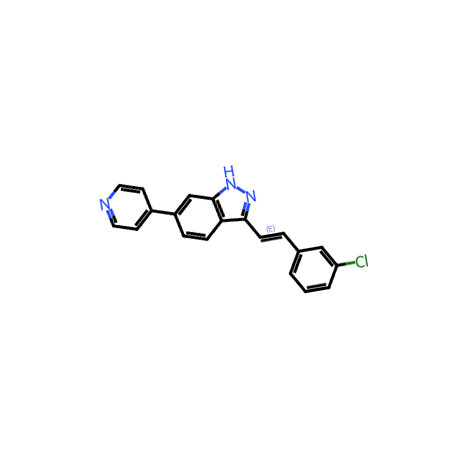 Clc1cccc(/C=C/c2n[nH]c3cc(-c4ccncc4)ccc23)c1